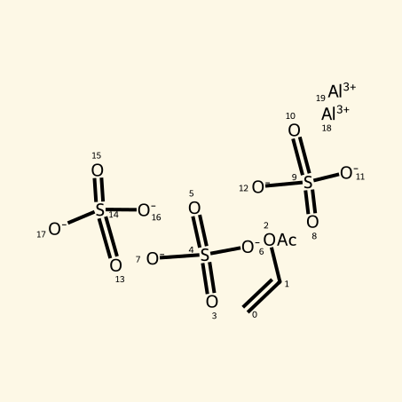 C=COC(C)=O.O=S(=O)([O-])[O-].O=S(=O)([O-])[O-].O=S(=O)([O-])[O-].[Al+3].[Al+3]